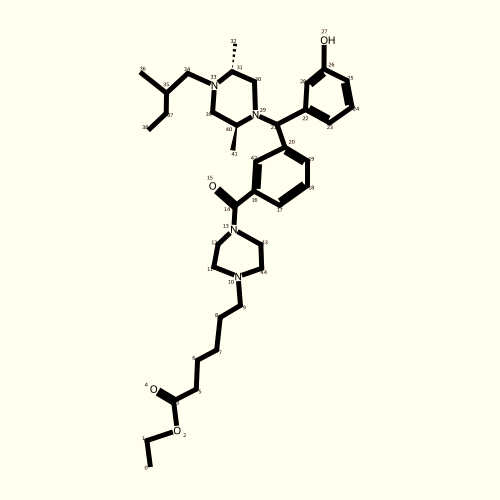 CCOC(=O)CCCCCN1CCN(C(=O)c2cccc(C(c3cccc(O)c3)N3C[C@@H](C)N(CC(C)CC)C[C@@H]3C)c2)CC1